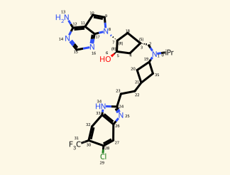 CC(C)N(C[C@@H]1C[C@@H](O)[C@H](n2ccc3c(N)ncnc32)C1)C1CC(CCc2nc3cc(Cl)c(C(F)(F)F)cc3[nH]2)C1